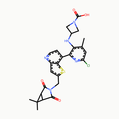 Cc1cc(Cl)nc(-c2ccnc3cc(CN4C(=O)C5C(C4=O)C5(C)C)sc23)c1NC1CN(C(=O)O)C1